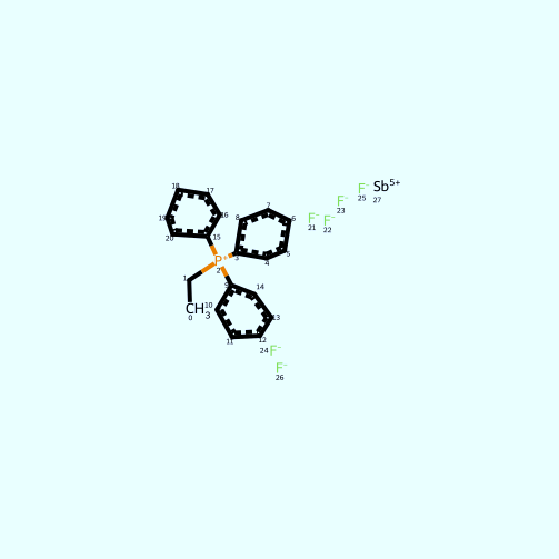 CC[P+](c1ccccc1)(c1ccccc1)c1ccccc1.[F-].[F-].[F-].[F-].[F-].[F-].[Sb+5]